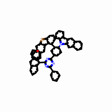 c1ccc(-c2nc(-c3ccc(-n4c5ccccc5c5cc6ccccc6cc54)c(-c4cccc5sc6cc7ccccc7cc6c45)c3)nc(-c3c4ccccc4cc4ccccc34)n2)cc1